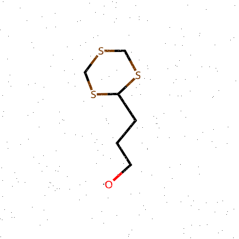 [O]CCCC1SCSCS1